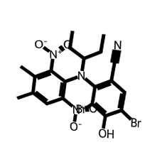 CCC(CC)N(c1c(C#N)cc(Br)c(O)c1Br)c1c([N+](=O)[O-])cc(C)c(C)c1[N+](=O)[O-]